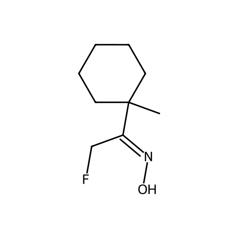 CC1(/C(CF)=N/O)CCCCC1